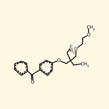 CCC(CC)(COCCOC)COc1ccc(C(=O)c2ccccc2)cc1